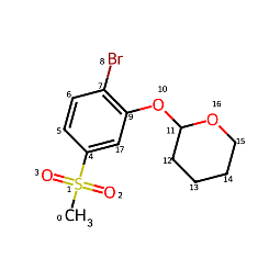 CS(=O)(=O)c1ccc(Br)c(OC2CCCCO2)c1